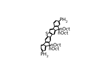 CCCCCCCCC1(CCCCCCCC)c2cc(P)ccc2-c2cc3sc4cc5c(cc4c3cc21)C(CCCCCCCC)(CCCCCCCC)c1cc(P)ccc1-5